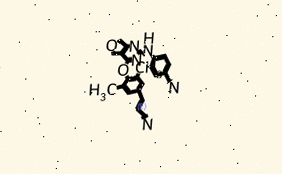 Cc1cc(/C=C/C#N)cc(C)c1Oc1nc(Nc2ccc(C#N)cc2)nc2c1COC2